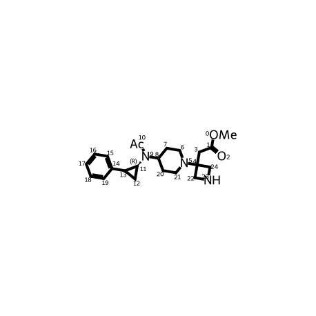 COC(=O)CC1(N2CCC(N(C(C)=O)[C@@H]3CC3c3ccccc3)CC2)CNC1